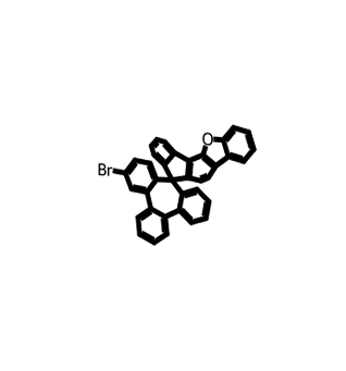 Brc1ccc2c(c1)-c1ccccc1-c1ccccc1C21c2ccccc2-c2c1ccc1c2oc2ccccc21